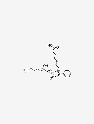 CCCCC[C@H](O)/C=C/[C@H]1C(=O)C=C(c2ccccc2)[C@@H]1CC=CCCCC(=O)O